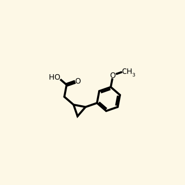 COc1cccc(C2CC2CC(=O)O)c1